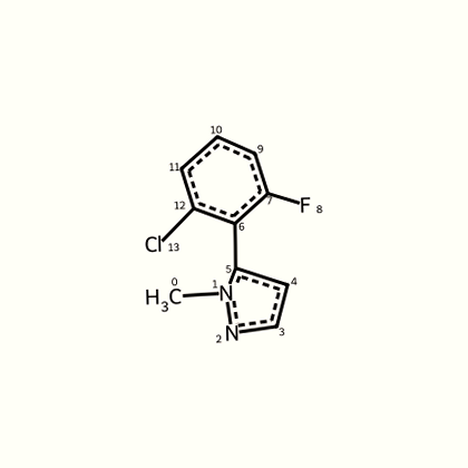 Cn1nccc1-c1c(F)cccc1Cl